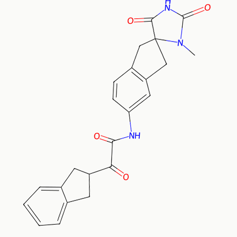 CN1C(=O)NC(=O)C12Cc1ccc(NC(=O)C(=O)C3Cc4ccccc4C3)cc1C2